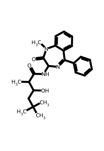 CC(C(=O)NC1N=C(c2ccccc2)c2ccccc2N(C)C1=O)C(O)CC(C)(C)C